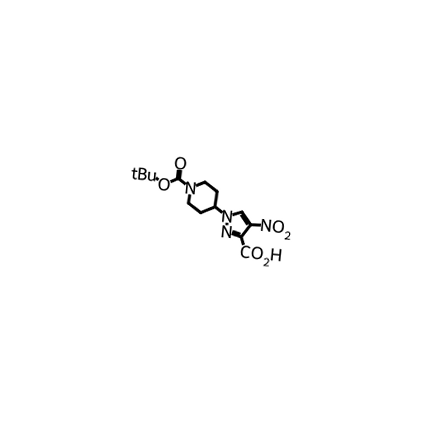 CC(C)(C)OC(=O)N1CCC(n2cc([N+](=O)[O-])c(C(=O)O)n2)CC1